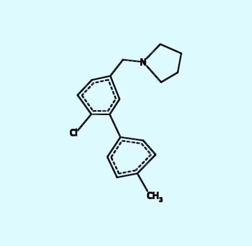 Cc1ccc(-c2cc(CN3CCCC3)ccc2Cl)cc1